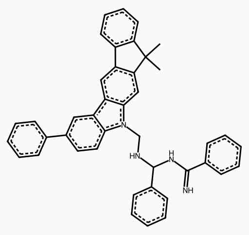 CC1(C)c2ccccc2-c2cc3c4cc(-c5ccccc5)ccc4n(CNC(NC(=N)c4ccccc4)c4ccccc4)c3cc21